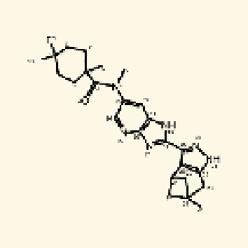 CN(C(=O)C1(C)CCC(F)(F)CC1)c1cnc2nc(-c3n[nH]c4c3C3CC(C)(C4)C3)[nH]c2c1